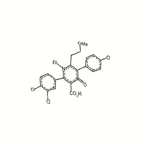 CCn1c(CCOC)c(-c2ccc(Cl)cc2)c(=O)c(C(=O)O)c1-c1ccc(Cl)c(Cl)c1